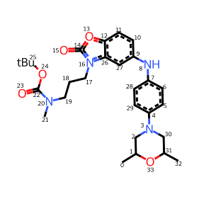 CC1CN(c2ccc(Nc3ccc4oc(=O)n(CCCN(C)C(=O)OC(C)(C)C)c4c3)cc2)CC(C)O1